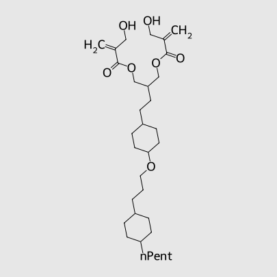 C=C(CO)C(=O)OCC(CCC1CCC(OCCCC2CCC(CCCCC)CC2)CC1)COC(=O)C(=C)CO